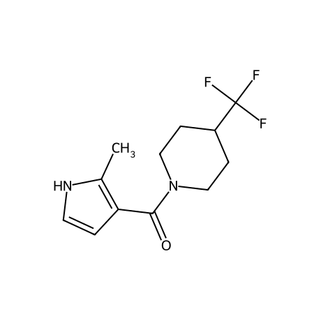 Cc1[nH]ccc1C(=O)N1CCC(C(F)(F)F)CC1